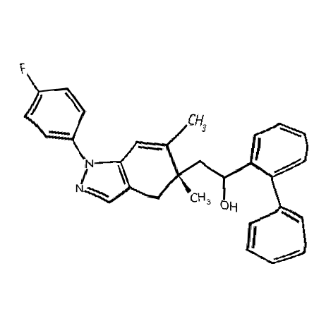 CC1=Cc2c(cnn2-c2ccc(F)cc2)C[C@@]1(C)CC(O)c1ccccc1-c1ccccc1